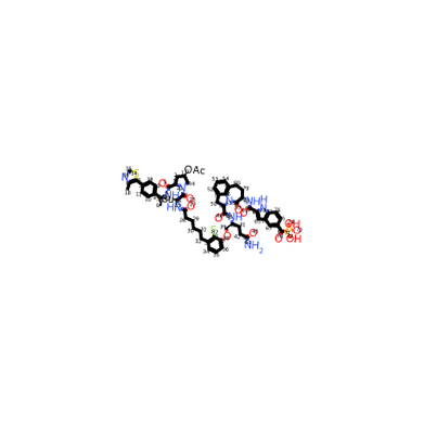 CC(=O)O[C@@H]1CC(C(=O)N[C@@H](C)c2ccc(-c3scnc3C)cc2)N(C(=O)[C@@H](NC(=O)CCCCCc2cccc(OC[C@H](CCC(N)=O)NC(=O)C3Cc4cccc5c4N3C(=O)[C@@H](NC(=O)c3cc4cc(C(=O)P(=O)(O)O)ccc4[nH]3)CC5)c2F)C(C)(C)C)C1